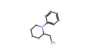 CCC1CCCCN1c1ccccc1